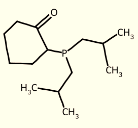 CC(C)CP(CC(C)C)C1CCCCC1=O